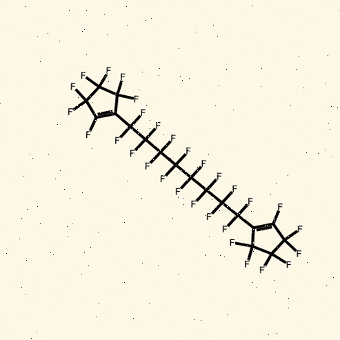 FC1=C(C(F)(F)C(F)(F)C(F)(F)C(F)(F)C(F)(F)C(F)(F)C(F)(F)C(F)(F)C2=C(F)C(F)(F)C(F)(F)C2(F)F)C(F)(F)C(F)(F)C1(F)F